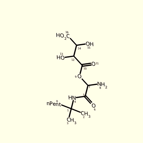 CCCCCC(C)(C)NC(=O)C(N)OC(=O)C(O)C(O)C(=O)O